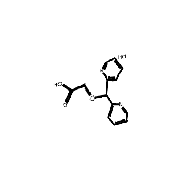 Cl.O=C(O)COC(c1ccccn1)c1ccccn1